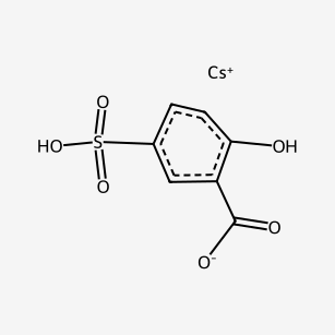 O=C([O-])c1cc(S(=O)(=O)O)ccc1O.[Cs+]